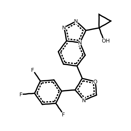 OC1(c2nnc3ccc(-c4ocnc4-c4cc(F)c(F)cc4F)cn23)CC1